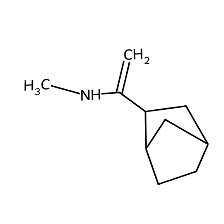 C=C(NC)C1CC2CCC1C2